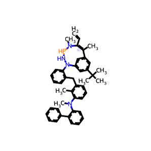 C=C/C1=C(\C)c2cc(cc(C(C)(C)C)c2)N(c2ccccc2Cc2cccc(N(C)c3ccccc3-c3ccccc3)c2C)NPN1C